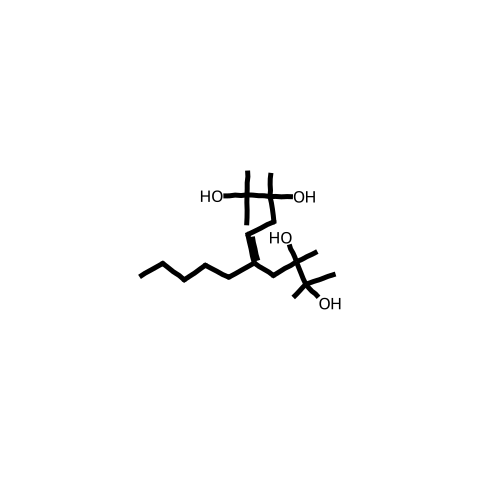 CCCCCC(=CCC(C)(O)C(C)(C)O)CC(C)(O)C(C)(C)O